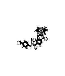 O=C(NCc1ccc(Cl)cc1)c1ccc2n(c1=O)CCN(CC1(S(=O)(=O)C3(F)CC3)CC1)C2=O